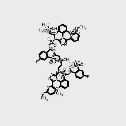 COc1cccc(-c2nnc(N(CC[Si](C)(C)C)S(=O)(=O)C[C@H](OCC[Si](C)(C)CCN(c3nnc(-c4cccc(OC)n4)n3-c3c(OC)cccc3OC)S(=O)(=O)C[C@@H](OC)c3ccc(F)cc3S(C)(=O)=O)c3ccc(F)cc3S(C)(=O)=O)n2-c2c(OC)cccc2OC)n1